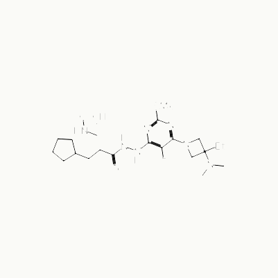 CCC1(N(C)C)CN(c2nc(SC)nc(NNC(=O)[C@@H](CNC(=O)O)CC3CCCC3)c2F)C1